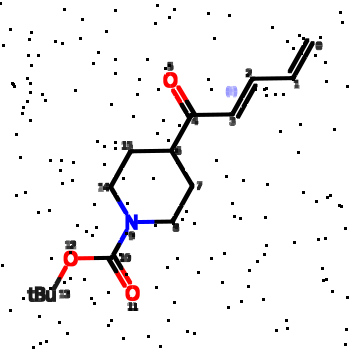 C=C/C=C/C(=O)C1CCN(C(=O)OC(C)(C)C)CC1